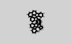 c1ccc(C2(c3ccc(-c4cccc5c4C4(c6ccccc6O5)c5ccccc5-c5ccccc54)cc3)c3ccccc3-c3ccc4ccccc4c32)cc1